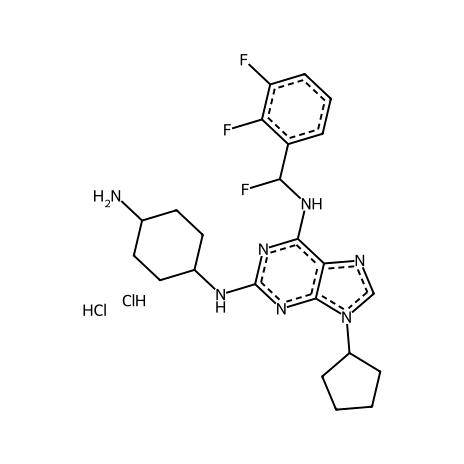 Cl.Cl.NC1CCC(Nc2nc(NC(F)c3cccc(F)c3F)c3ncn(C4CCCC4)c3n2)CC1